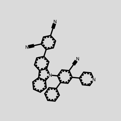 N#Cc1ccc(-c2ccc3c4ccccc4n(-c4cc(C#N)c(-c5ccncc5)cc4-c4ccccc4)c3c2)c(C#N)c1